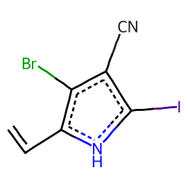 C=Cc1[nH]c(I)c(C#N)c1Br